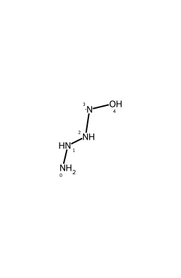 NNN[N]O